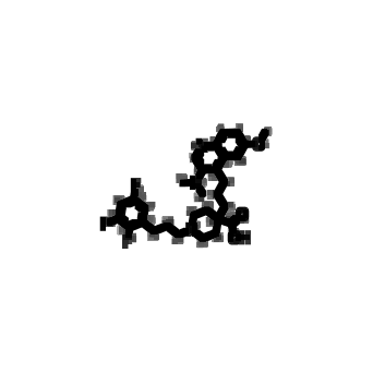 COc1ccc2ncc(N(C)C)c(CCCC3(C(=O)O)CCN(CCCc4cc(F)cc(F)c4F)CC3)c2c1